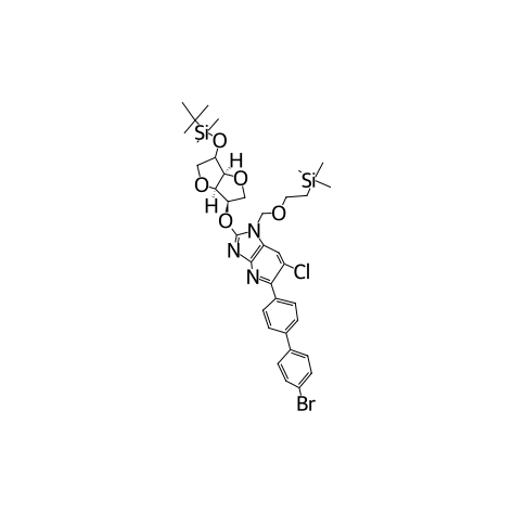 CC(C)(C)[Si](C)(C)OC1CO[C@H]2[C@@H]1OC[C@H]2Oc1nc2nc(-c3ccc(-c4ccc(Br)cc4)cc3)c(Cl)cc2n1COCC[Si](C)(C)C